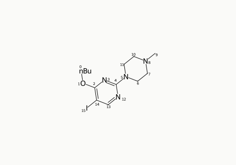 CCCCOc1nc(N2CCN(C)CC2)ncc1I